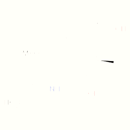 CO[C@@H]1CC(CO)[C@@H](C)[C@H](O)C1NCC(=O)O